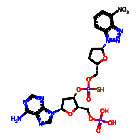 Nc1ncnc2c1ncn2[C@H]1C[C@H](OP(=O)(S)OC[C@@H]2CC[C@H](n3nnc4c([N+](=O)[O-])cccc43)O2)[C@@H](COP(=O)(O)O)O1